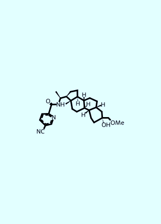 COC[C@@]1(O)CC[C@H]2[C@H](CC[C@@H]3[C@@H]2CC[C@]2(C)[C@@H]([C@H](C)NC(=O)c4ccc(C#N)cn4)CC[C@@H]32)C1